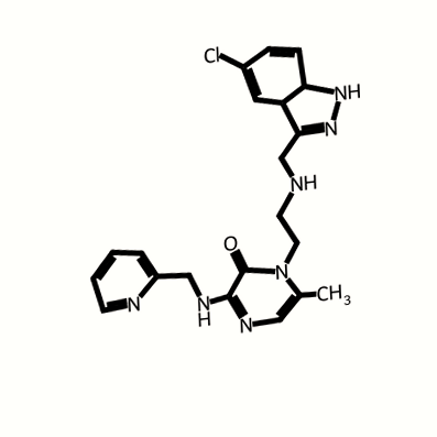 Cc1cnc(NCc2ccccn2)c(=O)n1CCNCC1=NNC2C=CC(Cl)=CC12